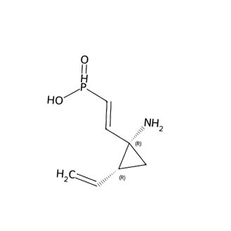 C=C[C@H]1C[C@]1(N)C=C[PH](=O)O